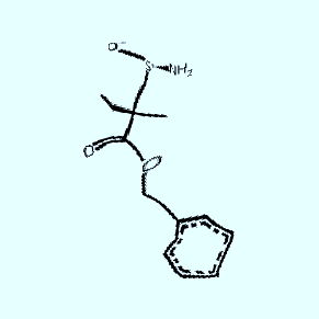 CC(C)(C(=O)OCc1ccccc1)[S@+](N)[O-]